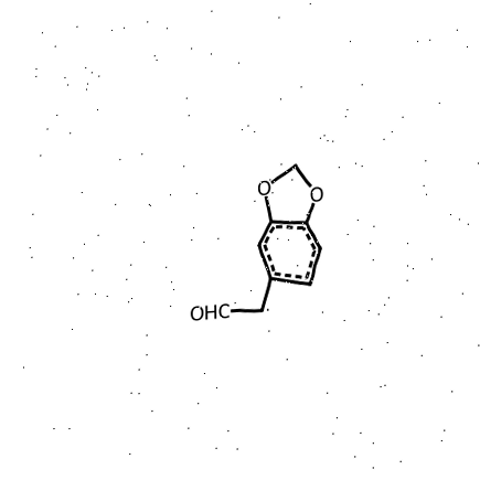 O=C[CH]c1ccc2c(c1)OCO2